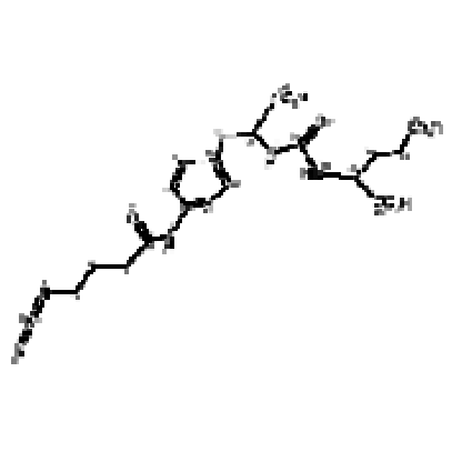 [N-]=[N+]=NCCCC(=O)Nc1ccc(CC(NC(=O)NC(CCC(=O)O)C(=O)O)C(=O)O)cc1